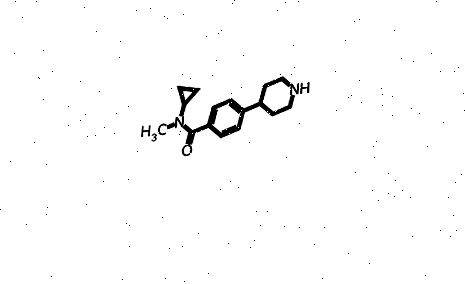 CN(C(=O)c1ccc(C2CCNCC2)cc1)C1CC1